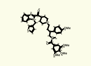 COc1ccc(C(CCN2CCC(C(=O)c3nc4ccccc4n3Cc3ccoc3)CC2)CN(C)C(=O)c2cc(OC)c(OC)c(OC)c2)cc1